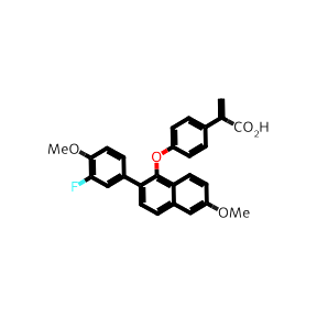 C=C(C(=O)O)c1ccc(Oc2c(-c3ccc(OC)c(F)c3)ccc3cc(OC)ccc23)cc1